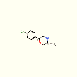 C[C@@H]1CO[C@@H](c2ccc(Cl)cc2)CN1